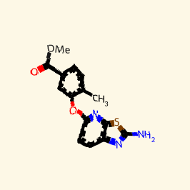 COC(=O)c1ccc(C)c(Oc2ccc3nc(N)sc3n2)c1